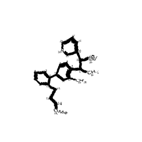 [CH2]C(c1ccc(-c2ccccc2CCCOC)cc1C)C(c1cccnc1)C(C)(C)C